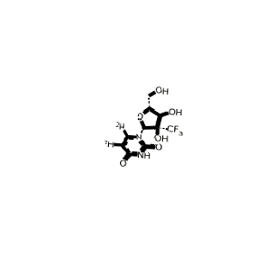 [2H]c1c([2H])n([C@@H]2O[C@H](CO)C(O)[C@]2(O)C(F)(F)F)c(=O)[nH]c1=O